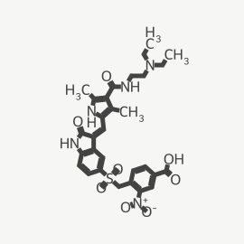 CCN(CC)CCNC(=O)c1c(C)[nH]c(/C=C2\C(=O)Nc3ccc(S(=O)(=O)Cc4ccc(C(=O)O)cc4[N+](=O)[O-])cc32)c1C